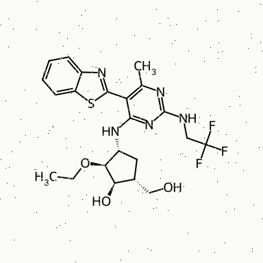 CCO[C@@H]1[C@H](O)[C@@H](CO)C[C@H]1Nc1nc(NCC(F)(F)F)nc(C)c1-c1nc2ccccc2s1